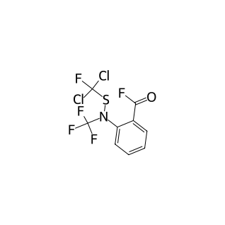 O=C(F)c1ccccc1N(SC(F)(Cl)Cl)C(F)(F)F